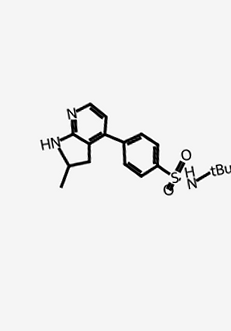 CC1Cc2c(-c3ccc(S(=O)(=O)NC(C)(C)C)cc3)ccnc2N1